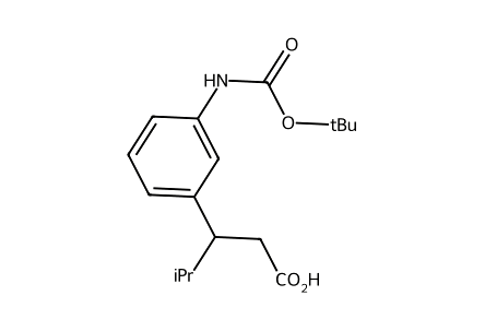 CC(C)C(CC(=O)O)c1cccc(NC(=O)OC(C)(C)C)c1